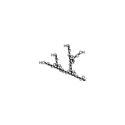 C=CC(=O)OCCOCC(=O)/C=C(/CC(=O)OCOOOC(=O)/C=C(/CC(=O)OCCOCCO)C(=O)OCCOCCO)C(=O)OCOCOC(=O)/C=C(/CC(=O)OCCOCCO)C(=O)OCCOCCO